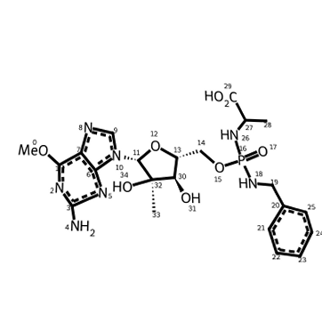 COc1nc(N)nc2c1ncn2[C@@H]1O[C@H](COP(=O)(NCc2ccccc2)NC(C)C(=O)O)[C@@H](O)[C@@]1(C)O